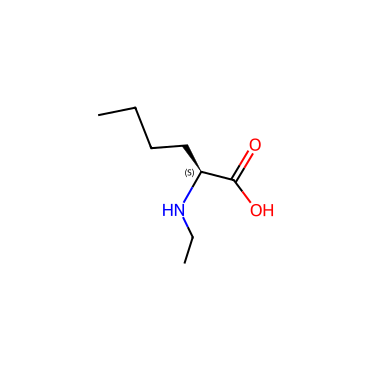 CCCC[C@H](NCC)C(=O)O